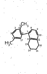 Cc1ccc(C)c(-c2cccc3c2CCCC3)c1